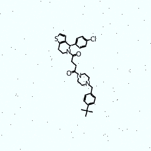 CC(C)(C)c1ccc(CN2CCN(C(=O)CCC(=O)N3CCc4sccc4C3c3ccc(Cl)cc3)CC2)cc1